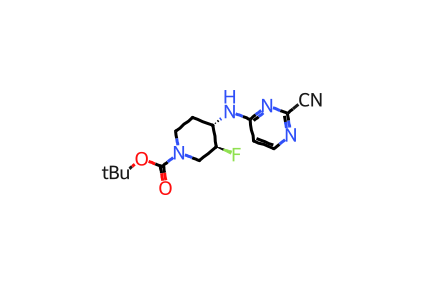 CC(C)(C)OC(=O)N1CC[C@H](Nc2ccnc(C#N)n2)[C@@H](F)C1